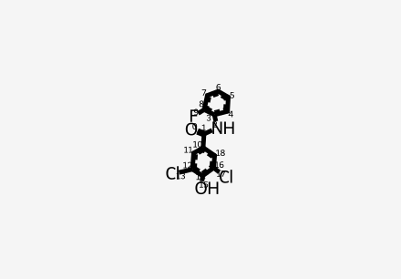 O=C(Nc1ccccc1F)c1cc(Cl)c(O)c(Cl)c1